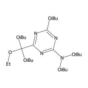 CCOC(OCC(C)C)(OCC(C)C)c1nc(OCC(C)C)nc(N(OCC(C)C)OCC(C)C)n1